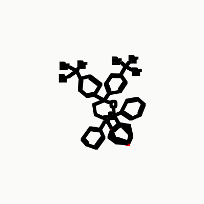 BrC(Br)(Br)c1ccc(C2(c3ccc(C(Br)(Br)Br)cc3)CC[Si](c3ccccc3)(c3ccccc3)[Si](c3ccccc3)(c3ccccc3)O2)cc1